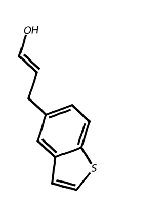 OC=CCc1ccc2sccc2c1